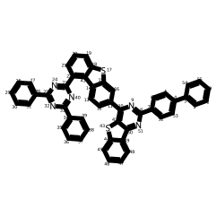 c1ccc(-c2ccc(-c3nc(-c4ccc5c(c4)sc4cccc(-c6nc(-c7ccccc7)nc(-c7ccccc7)n6)c45)c4sc5ccccc5c4n3)cc2)cc1